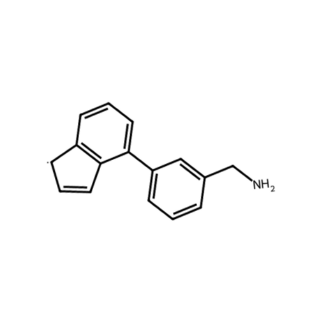 NCc1cccc(-c2cccc3c2C=C[CH]3)c1